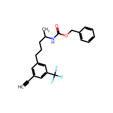 C#Cc1cc(CCCC(C)NC(=O)OCc2ccccc2)cc(C(F)(F)F)c1